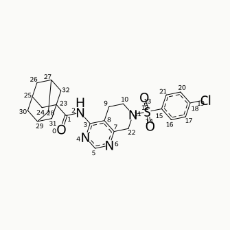 O=C(Nc1ncnc2c1CCN(S(=O)(=O)c1ccc(Cl)cc1)C2)C12CC3CC(CC(C3)C1)C2